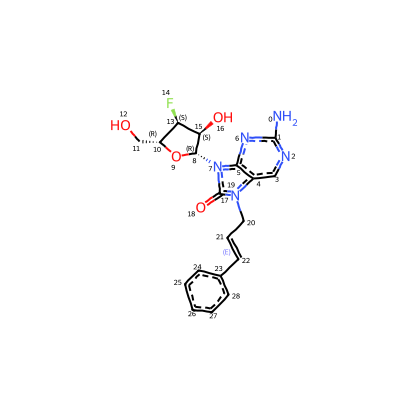 Nc1ncc2c(n1)n([C@@H]1O[C@H](CO)[C@@H](F)[C@H]1O)c(=O)n2C/C=C/c1ccccc1